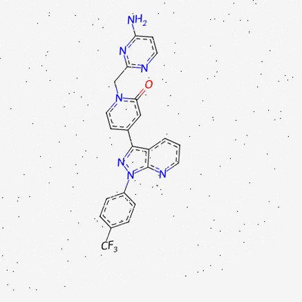 Nc1ccnc(Cn2ccc(-c3nn(-c4ccc(C(F)(F)F)cc4)c4ncccc34)cc2=O)n1